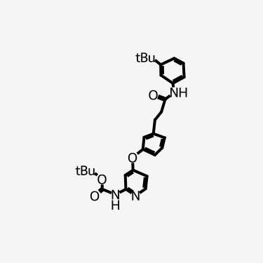 CC(C)(C)OC(=O)Nc1cc(Oc2cccc(CCC(=O)Nc3cccc(C(C)(C)C)c3)c2)ccn1